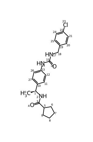 C[C@H](NC(=O)C1CCCC1)c1ccc(NC(=O)NCc2ccc(Cl)cc2)cc1